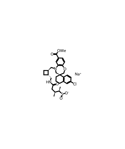 COC(=O)c1ccc2c(c1)N(C[C@@H]1CC[C@H]1CNC(=O)C[C@H](C)[C@@H](C)S(=O)[O-])C[C@@]1(CCCc3cc(Cl)ccc31)CO2.[Na+]